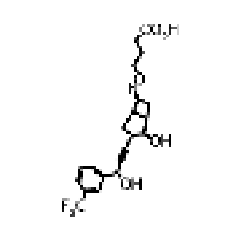 O=C(O)CCCON=C1CC2C1CC(C#CC(O)c1cccc(C(F)(F)F)c1)C2O